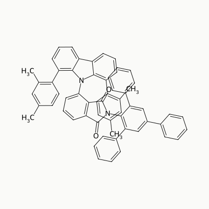 Cc1ccc(-c2cccc3c4cccc(-c5ccc(C)cc5C)c4n(-c4cccc5c4C(=O)N(c4c(-c6ccccc6)cc(-c6ccccc6)cc4-c4ccccc4)C5=O)c23)c(C)c1